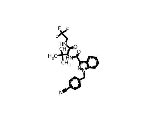 CC(C)(C)[C@H](NC(=O)c1nn(Cc2ccc(C#N)cc2)c2ccccc12)C(=O)NCC(F)(F)F